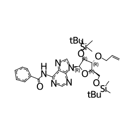 C=CCO[C@H]1[C@@H](O[Si](C)(C)C(C)(C)C)[C@H](n2cnc3c(NC(=O)c4ccccc4)ncnc32)O[C@@H]1CO[Si](C)(C)C(C)(C)C